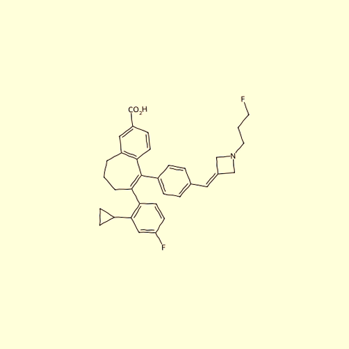 O=C(O)c1ccc2c(c1)CCCC(c1ccc(F)cc1C1CC1)=C2c1ccc(C=C2CN(CCCF)C2)cc1